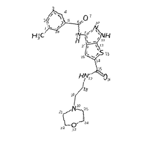 Cc1cccc(C(=O)Nc2n[nH]c3sc(C(=O)NCCN4CCOCC4)cc23)c1